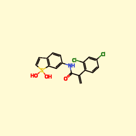 C=C(C(=O)Nc1ccc2c(c1)S(O)(O)C=C2)c1ccc(Cl)cc1Cl